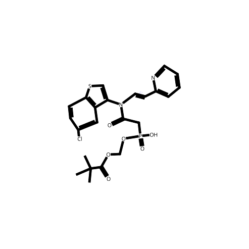 CC(C)(C)C(=O)OCOP(=O)(O)CC(=O)N(/C=C/c1ccccn1)c1csc2ccc(Cl)cc12